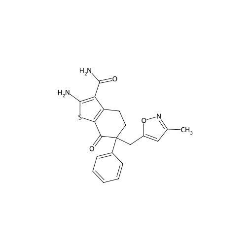 Cc1cc(CC2(c3ccccc3)CCc3c(sc(N)c3C(N)=O)C2=O)on1